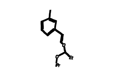 CCC(OC=Cc1cccc(C)c1)OC(C)C